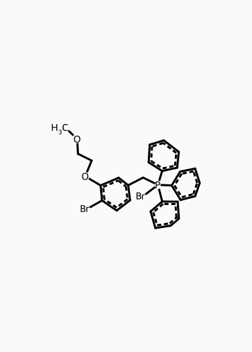 COCCOc1cc(CP(Br)(c2ccccc2)(c2ccccc2)c2ccccc2)ccc1Br